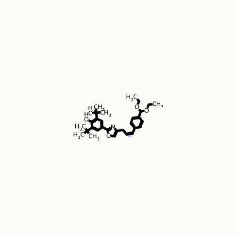 CCOC(OCC)c1ccc(/C=C\Cc2coc(-c3cc(C(C)(C)C)c(O)c(C(C)(C)C)c3)n2)cc1